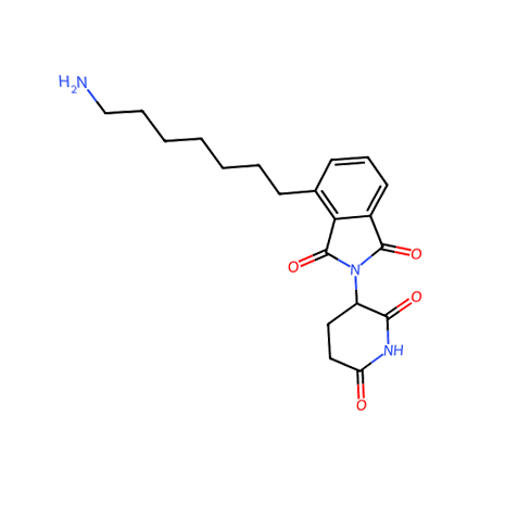 NCCCCCCCc1cccc2c1C(=O)N(C1CCC(=O)NC1=O)C2=O